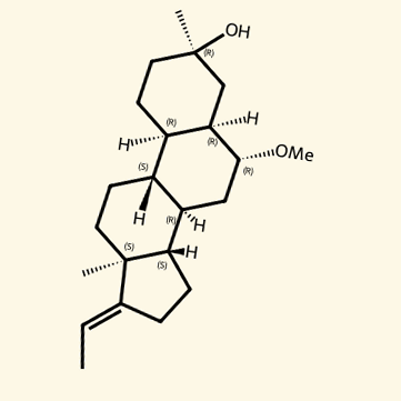 CC=C1CC[C@H]2[C@@H]3C[C@@H](OC)[C@@H]4C[C@](C)(O)CC[C@@H]4[C@H]3CC[C@]12C